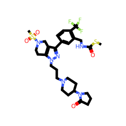 CSC(=O)NCc1cc(-c2nn(CCCN3CCC(N4CCCC4=O)CC3)c3c2CN(S(C)(=O)=O)CC3)ccc1C(F)(F)F